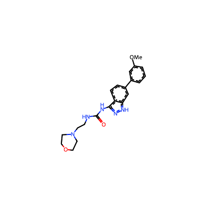 COc1cccc(-c2ccc3c(NC(=O)NCCN4CCOCC4)n[nH]c3c2)c1